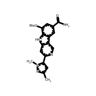 COc1cc(C(N)=O)cc2c1[nH]c1cc(-c3cc(C)nn3C)ncc12